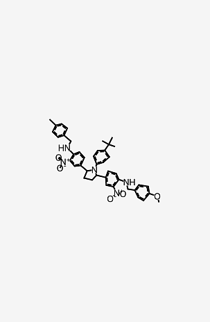 COc1ccc(CNc2ccc(C3CCC(c4ccc(NCc5ccc(C)cc5)c([N+](=O)[O-])c4)N3c3ccc(C(C)(C)C)cc3)cc2[N+](=O)[O-])cc1